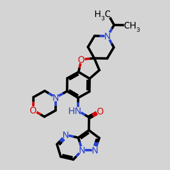 CC(C)N1CCC2(CC1)Cc1cc(NC(=O)c3cnn4cccnc34)c(N3CCOCC3)cc1O2